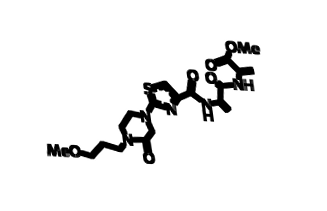 C=C(NC(=O)c1csc(N2CCN(CCCOC)C(=O)C2)n1)C(=O)NC(=C)C(=O)OC